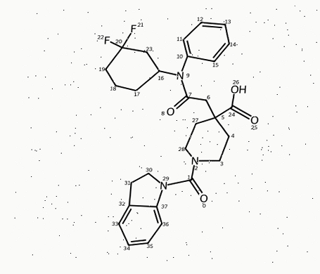 O=C(N1CCC(CC(=O)N(c2ccccc2)C2CCCC(F)(F)C2)(C(=O)O)CC1)N1CCc2ccccc21